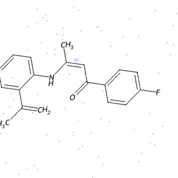 C=C(C)c1ccccc1N/C(C)=C\C(=O)c1ccc(F)cc1